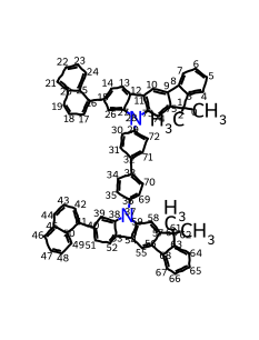 CC1(C)c2ccccc2-c2cc3c4ccc(-c5cccc6ccccc56)cc4n(-c4ccc(-c5ccc(-n6c7cc(-c8cccc9ccccc89)ccc7c7cc8c(cc76)C(C)(C)c6ccccc6-8)cc5)cc4)c3cc21